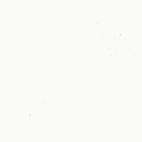 CC(=O)[SH](CCNC(=O)CCNC(=O)C(O)C(C)(C)COP(=O)(O)OP(=O)(O)OC[C@H]1O[C@@H](n2cnc3c(N)ncnc32)[C@H](O)[C@@H]1OP(=O)(O)O)C(=O)CC(=O)O